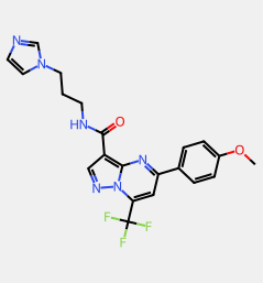 COc1ccc(-c2cc(C(F)(F)F)n3ncc(C(=O)NCCCn4ccnc4)c3n2)cc1